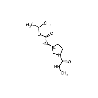 CNC(=O)N1CC[C@H](NC(=O)OC(C)C)C1